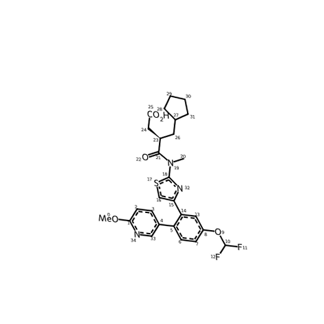 COc1ccc(-c2ccc(OC(F)F)cc2-c2csc(N(C)C(=O)[C@@H](CC(=O)O)CC3CCCC3)n2)cn1